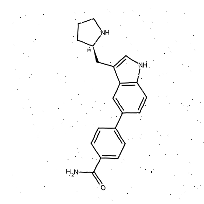 NC(=O)c1ccc(-c2ccc3[nH]cc(C[C@H]4CCCN4)c3c2)cc1